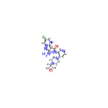 CC1(N2CCN(c3ccncc3NC(=O)c3c(N)nn4cc(F)cnc34)CC2)COC1